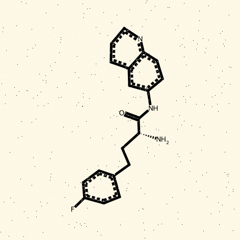 N[C@H](CCc1ccc(F)cc1)C(=O)Nc1ccc2ncccc2c1